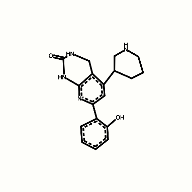 O=C1NCc2c(C3CCCNC3)cc(-c3ccccc3O)nc2N1